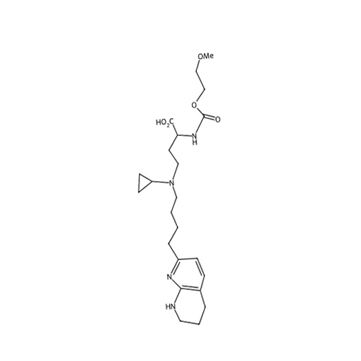 COCCOC(=O)NC(CCN(CCCCc1ccc2c(n1)NCCC2)C1CC1)C(=O)O